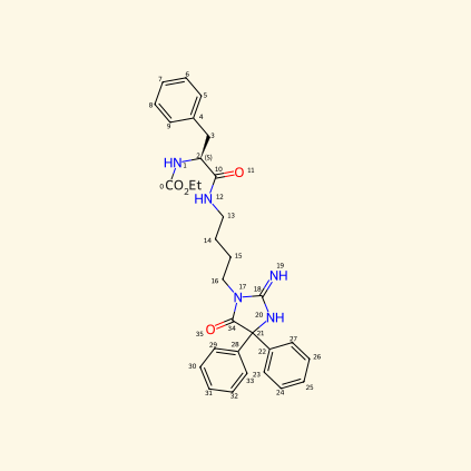 CCOC(=O)N[C@@H](Cc1ccccc1)C(=O)NCCCCN1C(=N)NC(c2ccccc2)(c2ccccc2)C1=O